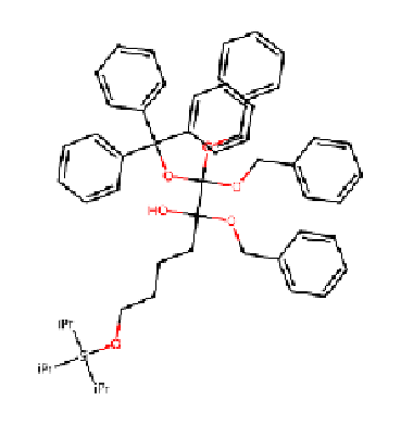 CC(C)[Si](OCCCCC(O)(OCc1ccccc1)C(OCc1ccccc1)(OCc1ccccc1)OC(c1ccccc1)(c1ccccc1)c1ccccc1)(C(C)C)C(C)C